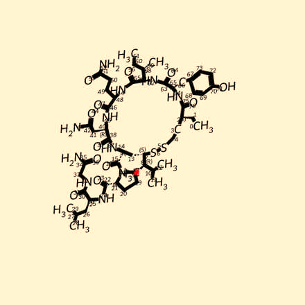 CC[C@H]1CCSS[C@H]([C@H](C)C(C)C)C[C@H](C(=O)N2CCC[C@@H]2C(=O)N[C@@H](CC(C)C)C(=O)NCC(N)=O)NC(=O)[C@@H](CC(N)=O)NC(=O)C(CCC(N)=O)NC(=O)[C@@H]([C@@H](C)CC)NC(=O)[C@H](Cc2ccc(O)cc2)NC1=O